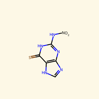 O=[N+]([O-])Nc1nc2nc[nH]c2c(=S)[nH]1